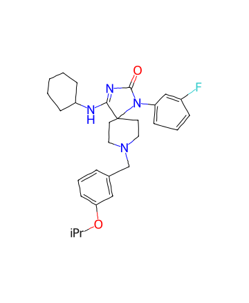 CC(C)Oc1cccc(CN2CCC3(CC2)C(NC2CCCCC2)=NC(=O)N3c2cccc(F)c2)c1